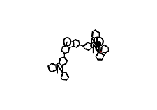 O=P1(c2ccccc2)N(c2ccccc2)c2ccc(-c3ccc4oc5ccc(-c6ccc7c(c6)c6ccccc6n7-c6ccccc6)cc5c4c3)cc2N1c1ccccc1